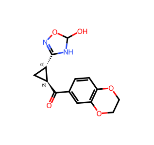 O=C(c1ccc2c(c1)OCCO2)[C@H]1C[C@@H]1C1=NOC(O)N1